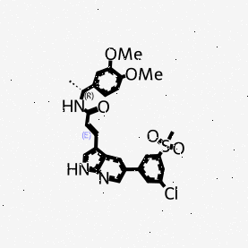 COc1ccc([C@@H](C)NC(=O)/C=C/c2c[nH]c3ncc(-c4cc(Cl)cc(S(C)(=O)=O)c4)cc23)cc1OC